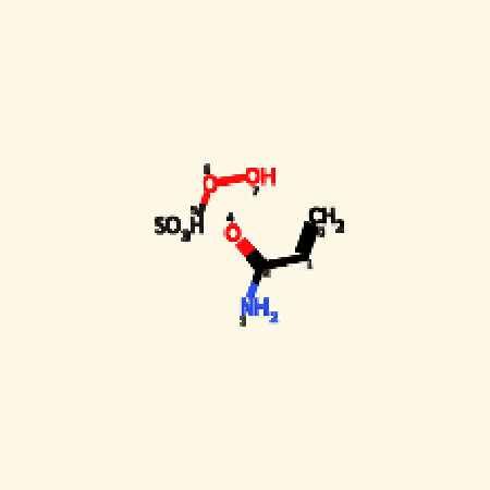 C=CC(N)=O.O=S(=O)(O)OO